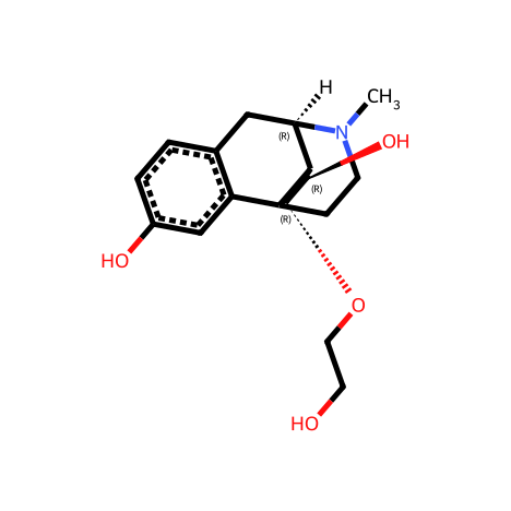 CN1CCC23C[C@@H](OCCO)C[C@@H](O)C2[C@H]1Cc1ccc(O)cc13